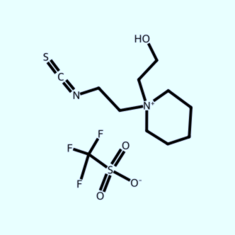 O=S(=O)([O-])C(F)(F)F.OCC[N+]1(CCN=C=S)CCCCC1